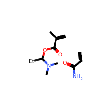 C=C(C)C(=O)OC(CC)N(C)C.C=CC(N)=O